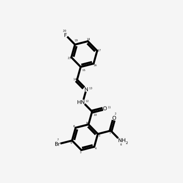 NC(=O)c1ccc(Br)cc1C(=O)NN=Cc1cccc(F)c1